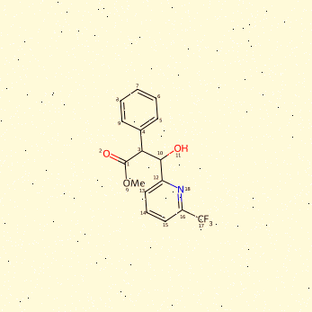 COC(=O)C(c1ccccc1)C(O)c1cccc(C(F)(F)F)n1